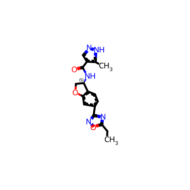 CCc1nc(-c2ccc3c(c2)OC[C@H]3NC(=O)c2cn[nH]c2C)no1